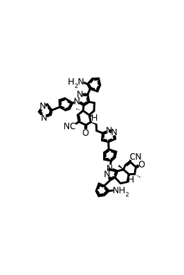 C[C@H]1C(=O)C(C#N)=C[C@@]2(C)c3c(c(-c4ccccc4N)nn3-c3ccc(-c4cnnc(CC[C@H]5C(=O)C(C#N)=C[C@@]6(C)c7c(c(-c8ccccc8N)nn7-c7ccc(-c8cncnc8)cc7)CC[C@H]56)c4)cc3)CC[C@H]12